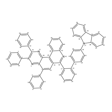 c1ccc(-c2nc3c(-c4ccccc4)cc4c(-c5ccccc5-c5ccc(-n6c7ccccc7c7ccccc76)cc5)nc5ccccc5c4c3nc2-c2ccccc2)cc1